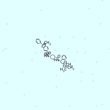 Cn1c(-c2ccccc2)cc2cc(S(=O)(=O)N[C@H]3CC[C@H](C(=O)N[C@H](CC(=O)OC(C)(C)C)c4ccccc4)CC3)ccc21